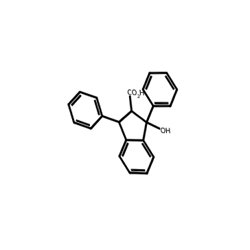 O=C(O)C1C(c2ccccc2)c2ccccc2C1(O)c1ccccc1